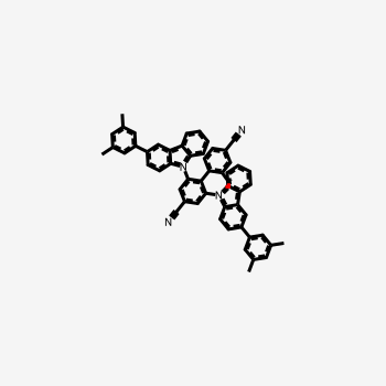 Cc1cc(C)cc(-c2ccc3c(c2)c2ccccc2n3-c2cc(C#N)cc(-n3c4ccccc4c4cc(-c5cc(C)cc(C)c5)ccc43)c2-c2ccc(C#N)cc2F)c1